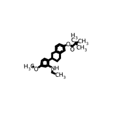 CCNc1cc(OC)ccc1C1CCc2cc(OC(=O)C(C)(C)C)ccc2C1